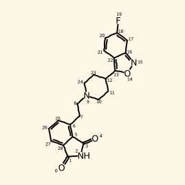 O=C1NC(=O)c2c(CCN3CCC(c4onc5cc(F)ccc45)CC3)cccc21